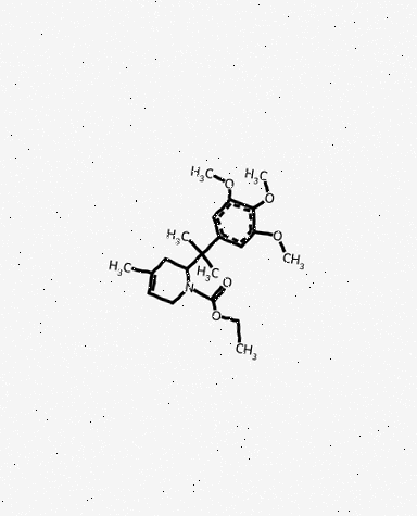 CCOC(=O)N1CC=C(C)CC1C(C)(C)c1cc(OC)c(OC)c(OC)c1